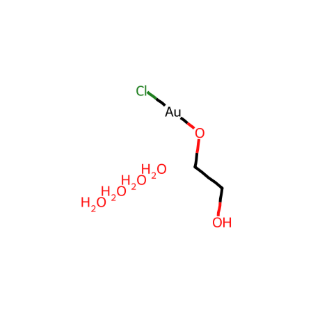 O.O.O.O.OCC[O][Au][Cl]